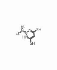 CCN(CC)N1N=C(S)C=C(S)N1